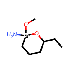 CCC1CCC[Si](N)(OC)O1